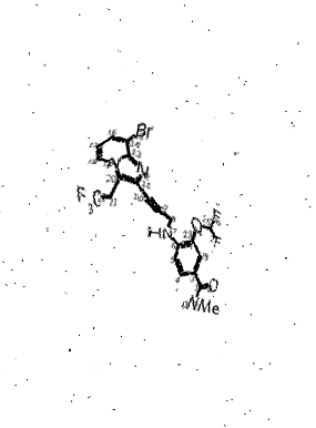 CNC(=O)c1ccc(NCC#Cc2nc3c(Br)cccn3c2CC(F)(F)F)c(OC(F)F)c1